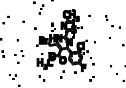 COC(=O)C1=C(CBr)NC(c2nc(C)cs2)=N[C@H]1c1ccc(F)cc1Cl